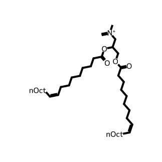 C=[N+](C)CC(COC(=O)CCCCCCC/C=C\CCCCCCCC)OC(=O)CCCCCCC/C=C\CCCCCCCC